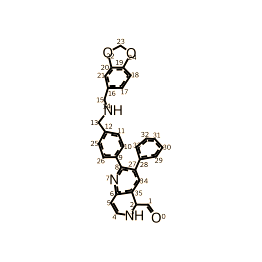 O=CC1NC=Cc2nc(-c3ccc(CNCc4ccc5c(c4)OCO5)cc3)c(-c3ccccc3)cc21